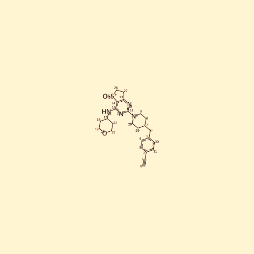 C#Cc1ccc(CC2CCN(c3nc4c(c(NC5CCOCC5)n3)[S+]([O-])CC4)CC2)cc1